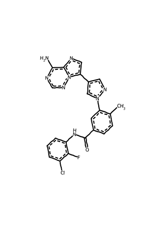 Cc1ccc(C(=O)Nc2cccc(Cl)c2F)cc1-n1cc(-c2cnc3c(N)ncnn23)cn1